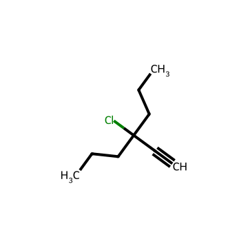 C#CC(Cl)(CCC)CCC